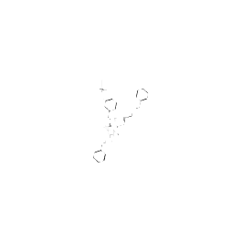 O=C(CCC(NC(=O)OCc1ccccc1)P(=O)(O)Cc1cccc(OC(F)(F)F)c1)OCc1ccccc1